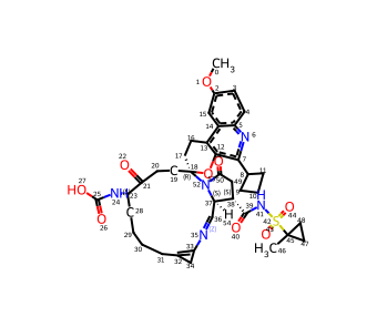 COc1ccc2nc(C3CCC3)c3c(c2c1)CC[C@]1(CCC(=O)[C@@H](NC(=O)O)CCCCC2=C(C2)/N=C\[C@@H]2[C@@H](C(=O)NS(=O)(=O)C4(C)CC4)CC(=O)N21)O3